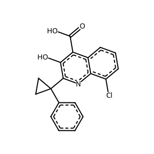 O=C(O)c1c(O)c(C2(c3ccccc3)CC2)nc2c(Cl)cccc12